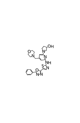 OC1CCN(c2cc(CN3CCOCC3)cc(Nc3ncc(-c4nnc(-c5ccccc5)o4)s3)n2)C1